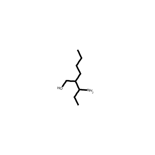 CCCCC(CO)C(N)CC